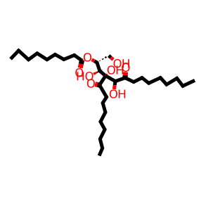 CCCCCCCCC(=O)O[C@H](CO)[C@H](O)[C@](O)(C(=O)CCCCCCCC)C(O)C(=O)CCCCCCCC